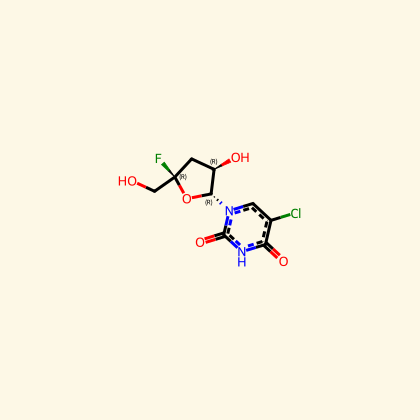 O=c1[nH]c(=O)n([C@@H]2O[C@](F)(CO)C[C@H]2O)cc1Cl